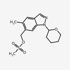 Cc1cc2cnn(C3CCCCO3)c2cc1COS(C)(=O)=O